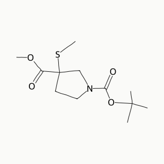 COC(=O)C1(SC)CCN(C(=O)OC(C)(C)C)C1